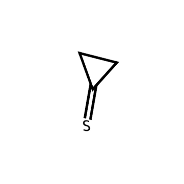 S=C1CC1